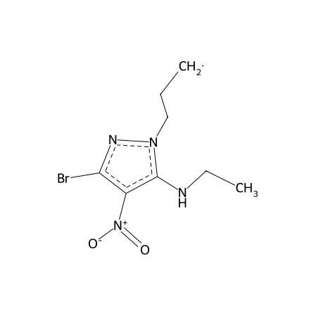 [CH2]CCn1nc(Br)c([N+](=O)[O-])c1NCC